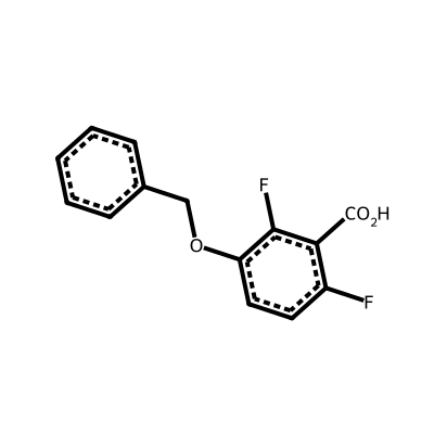 O=C(O)c1c(F)ccc(OCc2ccccc2)c1F